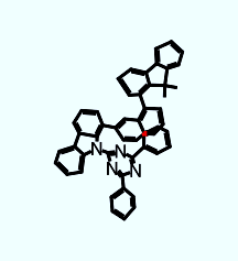 CC1(C)c2ccccc2-c2cccc(-c3cccc4ccc(-c5cccc6c7ccccc7n(-c7nc(-c8ccccc8)nc(-c8ccccc8)n7)c56)cc34)c21